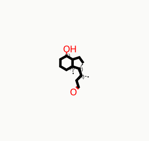 C[C@H](CC=O)[C@H]1CCC2[C@@H](O)CCC[C@@]21C